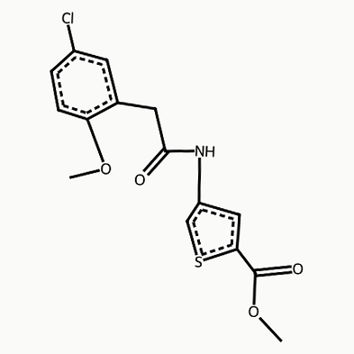 COC(=O)c1cc(NC(=O)Cc2cc(Cl)ccc2OC)cs1